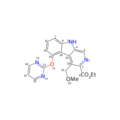 CCOC(=O)c1ncc2[nH]c3cccc(Oc4ncccn4)c3c2c1COC